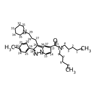 CCCCCN(CCCCC)C(=O)c1ccn2nc(-c3ccc(C)cc3)c(CCCN3CCCCC3)c2c1